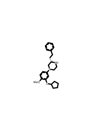 COc1ccc(N2CCN[C@@H](CCc3ccccc3)C2)cc1OC1CCCC1